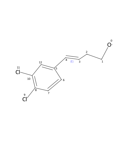 [O]CC/C=C/c1ccc(Cl)c(Cl)c1